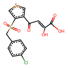 O=C(O)C(O)=CC(=O)c1cscc1S(=O)(=O)Cc1ccc(Cl)cc1